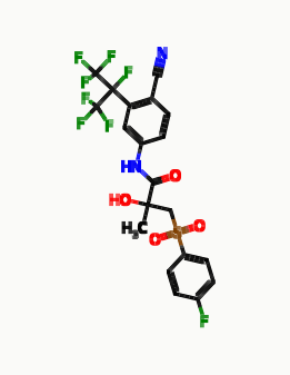 CC(O)(CS(=O)(=O)c1ccc(F)cc1)C(=O)Nc1ccc(C#N)c(C(F)(C(F)(F)F)C(F)(F)F)c1